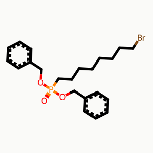 O=P(CCCCCCCCBr)(OCc1ccccc1)OCc1ccccc1